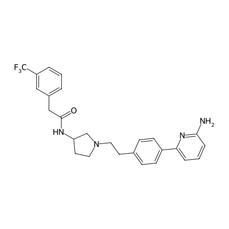 Nc1cccc(-c2ccc(CCN3CCC(NC(=O)Cc4cccc(C(F)(F)F)c4)C3)cc2)n1